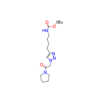 CC(C)(C)OC(=O)NCCCCc1cn(CC(=O)N2CCCCC2)nn1